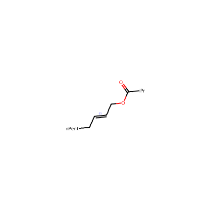 CCCCCC/C=C/COC(=O)C(C)C